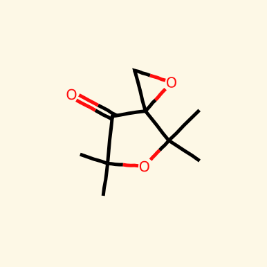 CC1(C)OC(C)(C)C2(CO2)C1=O